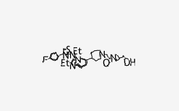 CCc1nc2ccc(C3CCCN(CC(=O)N4CC(CO)C4)CC3)cn2c1N(CC)c1nc(-c2ccc(F)cc2)cs1